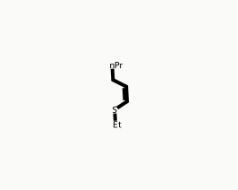 CCCC/C=C\SCC